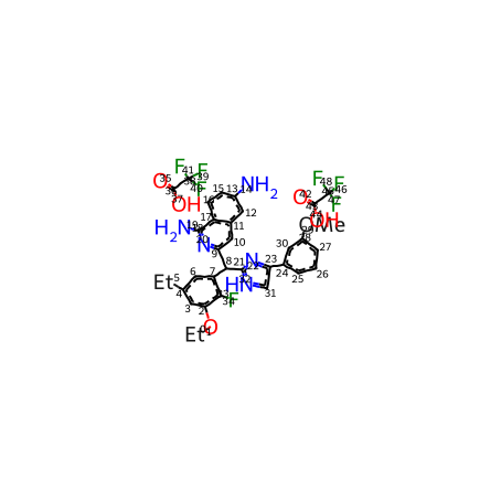 CCOc1cc(CC)cc(C(c2cc3cc(N)ccc3c(N)n2)c2nc(-c3cccc(OC)c3)c[nH]2)c1F.O=C(O)C(F)(F)F.O=C(O)C(F)(F)F